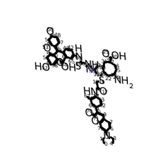 CCN(CC)c1ccc2cc(-c3ccc(NC(=O)CSC[C@H]4CC(N)CCC(C(=O)O)C[C@H]4C/C(C)=N\NC(=S)Nc4ccc(-c5c6ccc(=O)cc-6oc6cc(O)ccc56)c(C(=O)O)c4)c(C)c3)c(=O)oc2c1